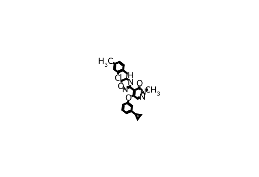 Cc1ccc(C[C@@H]2CON=C(c3c(Oc4cccc(C5CC5)c4)cnn(C)c3=O)N2)c(Cl)c1